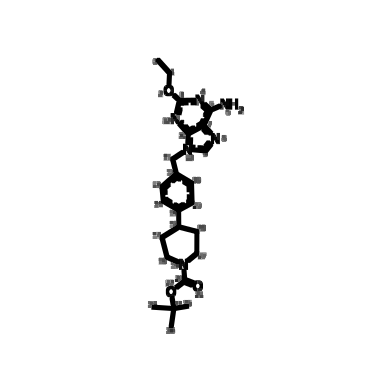 CCOc1nc(N)c2ncn(Cc3ccc(C4CCN(C(=O)OC(C)(C)C)CC4)cc3)c2n1